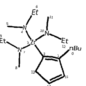 CCCCC1=[C]([Zr]([N](C)CC)([N](C)CC)[N](C)CC)CC=C1